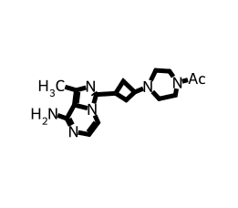 CC(=O)N1CCN(C2CC(c3nc(C)c4c(N)nccn34)C2)CC1